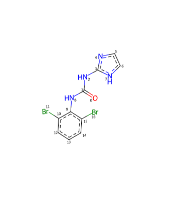 O=C(Nc1ncc[nH]1)Nc1c(Br)cccc1Br